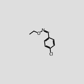 CCO/N=[C]\c1ccc(Cl)cc1